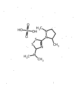 CC1CCN(C)N1C1=NC(N(C)C)SS1.O=S(=O)(O)O